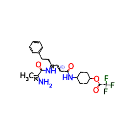 C[C@H](N)C(=O)N[C@H](/C=C/C(=O)NC1CCC(OC(=O)C(F)(F)F)CC1)CCc1ccccc1